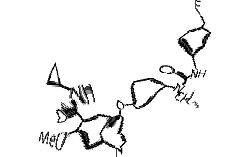 COc1cc2nccc(Oc3ccc(N(C)C(=O)Nc4ccc(F)cc4)cc3)c2cc1C(=O)NC1CC1